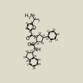 CC(N)c1ccc(C(=O)N2CC(c3ccccc3)CC2C(=O)NC2CCc3ccccc32)o1